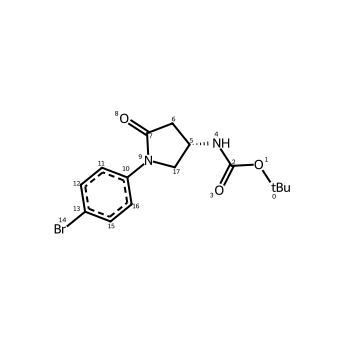 CC(C)(C)OC(=O)N[C@H]1CC(=O)N(c2ccc(Br)cc2)C1